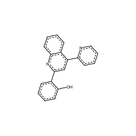 Oc1ccccc1-c1cc(-c2ccccn2)c2ccccc2n1